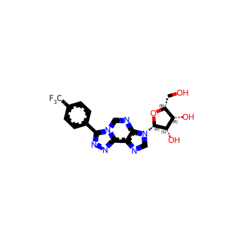 OC[C@H]1O[C@@H](n2cnc3c2ncn2c(-c4ccc(C(F)(F)F)cc4)nnc32)[C@@H](O)[C@H]1O